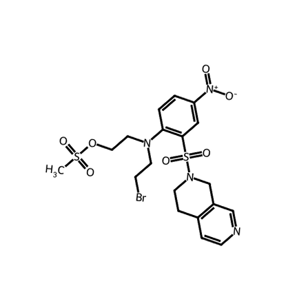 CS(=O)(=O)OCCN(CCBr)c1ccc([N+](=O)[O-])cc1S(=O)(=O)N1CCc2ccncc2C1